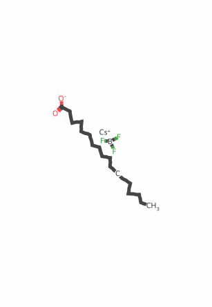 CCCCCCCCCCCCCCCCCC(=O)[O-].FB(F)F.[Cs+]